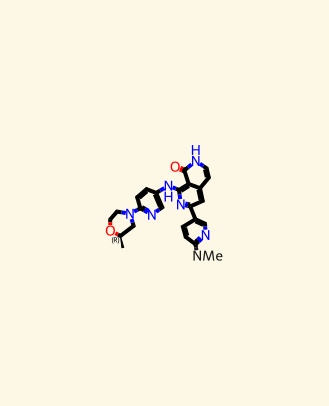 CNc1ccc(-c2cc3cc[nH]c(=O)c3c(Nc3ccc(N4CCO[C@H](C)C4)nc3)n2)cn1